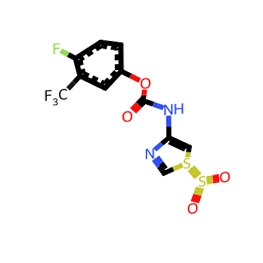 O=C(NC1=CS(=S(=O)=O)C=N1)Oc1ccc(F)c(C(F)(F)F)c1